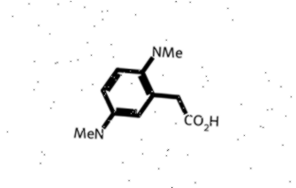 CNc1ccc(NC)c(CC(=O)O)c1